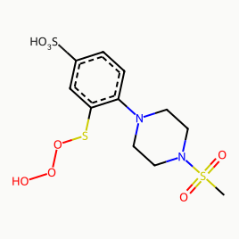 CS(=O)(=O)N1CCN(c2ccc(S(=O)(=O)O)cc2SOOO)CC1